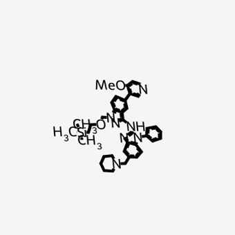 COc1ccncc1-c1ccc2c(c1)c(Nc1nc3cc(CN4CCCCC4)ccc3n1-c1ccccc1)nn2COCC[Si](C)(C)C